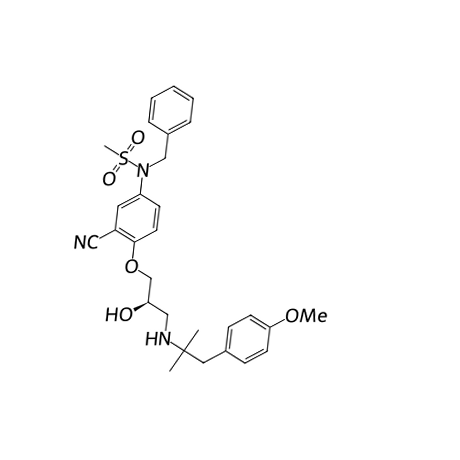 COc1ccc(CC(C)(C)NC[C@@H](O)COc2ccc(N(Cc3ccccc3)S(C)(=O)=O)cc2C#N)cc1